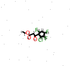 CCOC(=O)CC(=O)c1c(F)cc(F)c(F)c1Cl